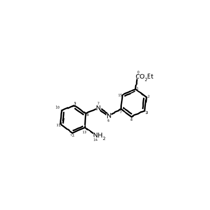 CCOC(=O)c1cccc(N=Nc2ccccc2N)c1